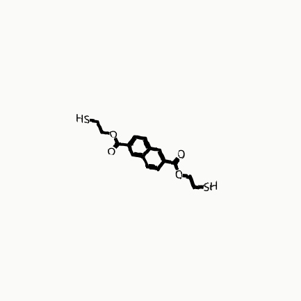 O=C(OCCS)c1ccc2cc(C(=O)OCCS)ccc2c1